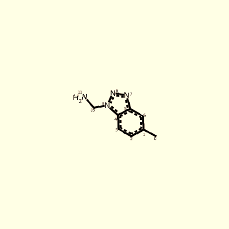 Cc1ccc2c(c1)nnn2CN